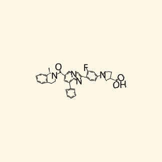 C[C@@H]1c2ccccc2CCN1C(=O)c1cc(-c2ccccc2)c2nc(-c3ccc(N4CCC(C(=O)O)C4)cc3F)cn2c1